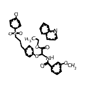 CCOC(=O)C(NC(=O)c1cccc(OC)c1)Oc1ccc(CCCS(=O)(=O)c2ccc(Cl)cc2)cc1.c1ccc2ncccc2c1